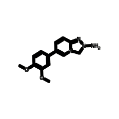 COc1ccc(C2=CN3CN(N)N=C3C=C2)cc1OC